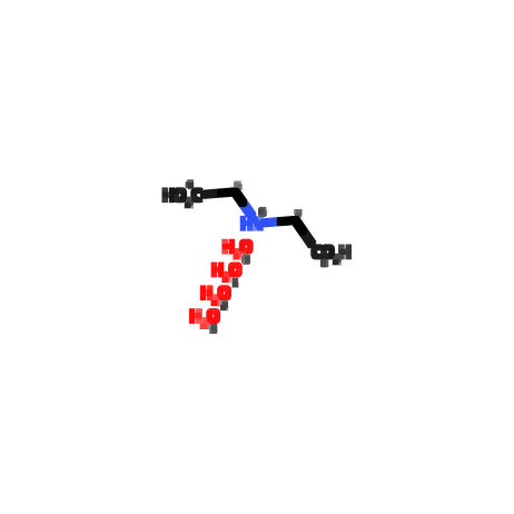 O.O.O.O.O=C(O)CNCC(=O)O